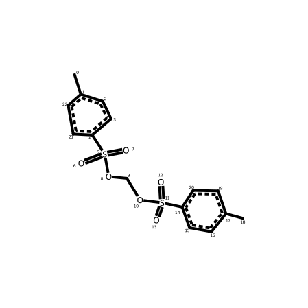 Cc1ccc(S(=O)(=O)OCOS(=O)(=O)c2ccc(C)cc2)cc1